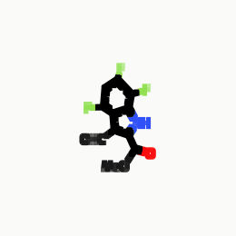 COC(=O)c1[nH]c2c(F)c(F)cc(F)c2c1C=O